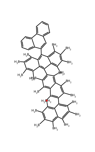 Bc1c(-c2c3c(B)c(B)c(B)c(B)c3c(-c3cc4ccccc4c4ccccc34)c3c(B)c(B)c(B)c(B)c23)c(B)c2c(B)c(B)c(-c3c(B)c(B)c(B)c4c(B)c(B)c(B)c(B)c34)c(B)c2c1B